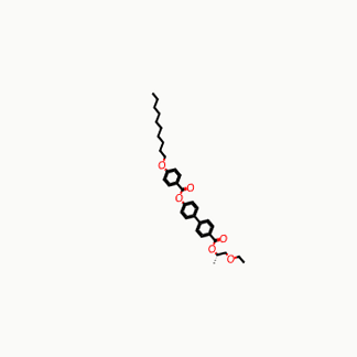 CCCCCCCCCCOc1ccc(C(=O)Oc2ccc(-c3ccc(C(=O)O[C@@H](C)COCC)cc3)cc2)cc1